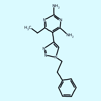 CCc1nc(N)nc(N)c1-c1cn(CCc2ccccc2)nn1